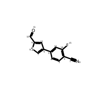 N#Cc1ccc(-c2csc(C=O)c2)cc1F